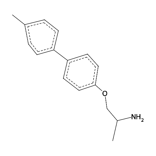 Cc1ccc(-c2ccc(OCC(C)N)cc2)cc1